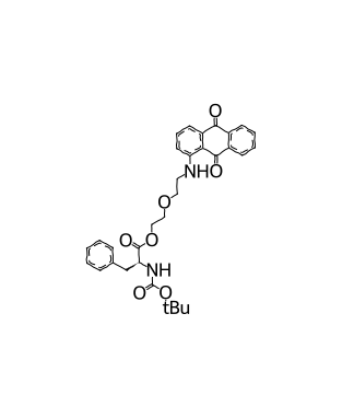 CC(C)(C)OC(=O)N[C@@H](Cc1ccccc1)C(=O)OCCOCCNc1cccc2c1C(=O)c1ccccc1C2=O